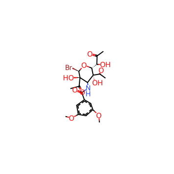 COc1cc(OC)cc(C(=O)N[C@@H]2[C@](O)(C(C)=O)[C@@H](C(O)C(C)=O)O[C@H](Br)[C@@]2(O)C(C)=O)c1